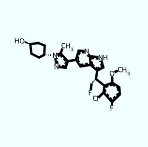 COc1ccc(F)c(Cl)c1[C@H](CF)c1c[nH]c2ncc(-c3cnn([C@H]4CC[C@H](O)CC4)c3C)cc12